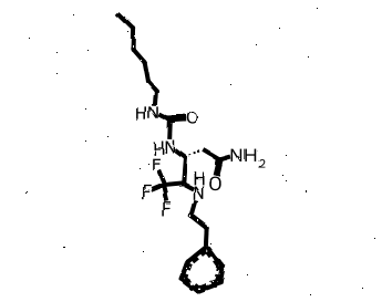 CCCCCCNC(=O)N[C@H](CC(N)=O)C(NCCc1ccccc1)C(F)(F)F